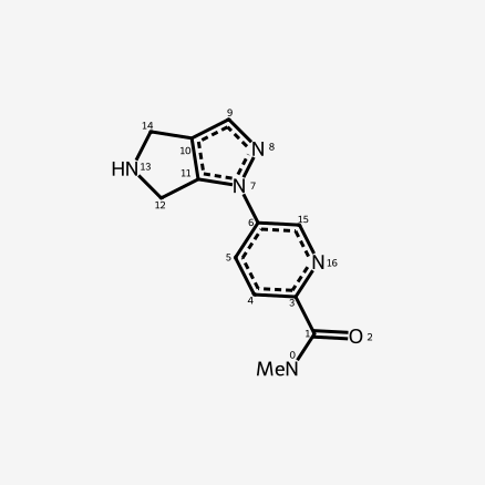 CNC(=O)c1ccc(-n2ncc3c2CNC3)cn1